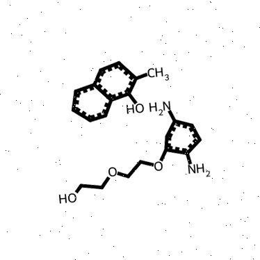 Cc1ccc2ccccc2c1O.Nc1ccc(N)c(OCCOCCO)c1